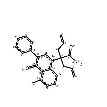 C=CCC(CC=C)(C(N)=O)n1cc(-c2ccccc2)c(=O)c2c(C)cccc21